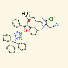 CCCCc1nc(Cl)c(CC#N)n1Cc1ccc2oc(-c3ccccc3-c3nnn(C(c4ccccc4)(c4ccccc4)c4ccccc4)n3)c(Br)c2c1